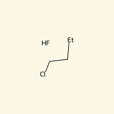 CCCCCl.F